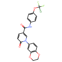 O=C(Nc1ccc(OC(F)(F)Cl)cc1)c1ccc(=O)n(-c2ccc3c(c2)OCCO3)c1